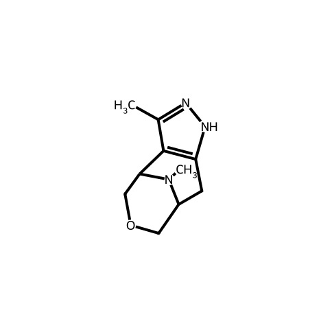 Cc1n[nH]c2c1C1COCC(C2)N1C